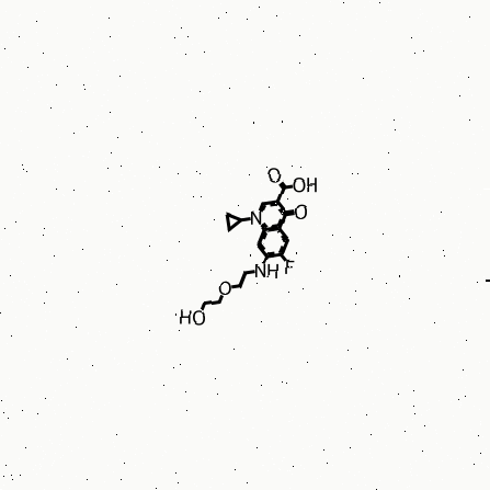 O=C(O)c1cn(C2CC2)c2cc(NCCOCCO)c(F)cc2c1=O